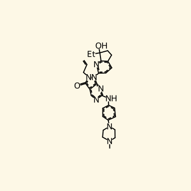 C=CCn1c(=O)c2cnc(Nc3ccc(N4CCN(C)CC4)cc3)nc2n1-c1ccc2c(n1)C(O)(CC)CC2